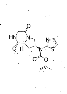 C=C(C)OC(=O)N(c1nccs1)[C@H]1C[C@H]2C(=O)NCC(=O)N2C1